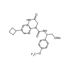 COCC(NC(=O)N1CC(=O)Nc2cc(C3CCC3)cnc21)c1ccc(OC(F)(F)F)cc1